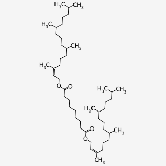 CC(=CCOC(=O)CCCCCCCC(=O)OCC=C(C)CCCC(C)CCCC(C)CCCC(C)C)CCCC(C)CCCC(C)CCCC(C)C